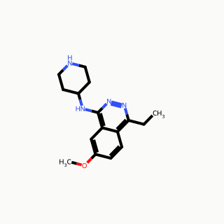 CCc1nnc(NC2CCNCC2)c2cc(OC)ccc12